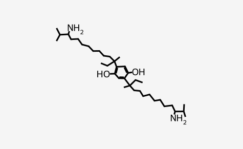 CCC(C)(CCCCCCCCC(N)C(C)C)c1cc(O)c(C(C)(CC)CCCCCCCCC(N)C(C)C)cc1O